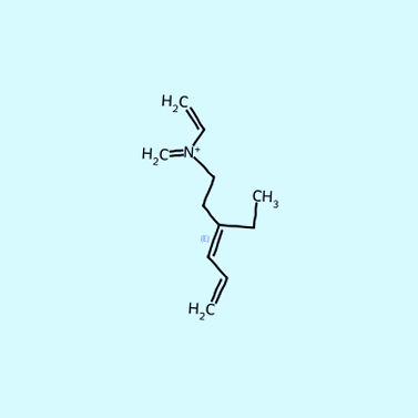 C=C/C=C(\CC)CC[N+](=C)C=C